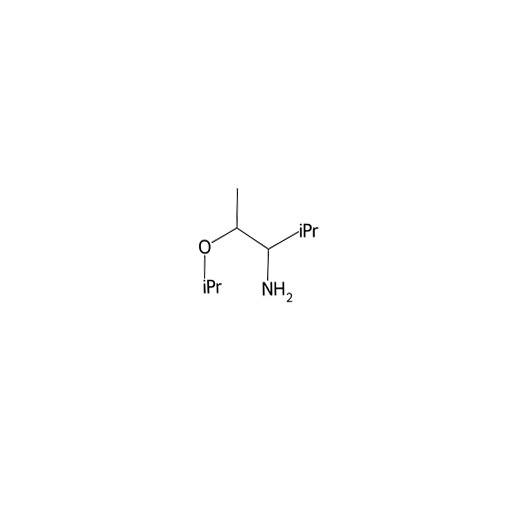 CC(C)OC(C)C(N)C(C)C